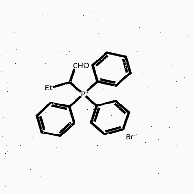 CCC(C=O)[P+](c1ccccc1)(c1ccccc1)c1ccccc1.[Br-]